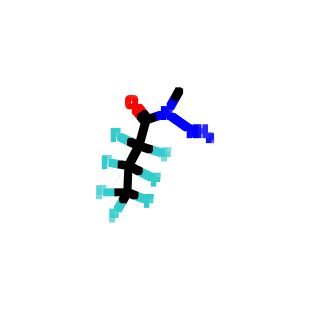 CN(N)C(=O)C(F)(F)C(F)(F)C(F)(F)F